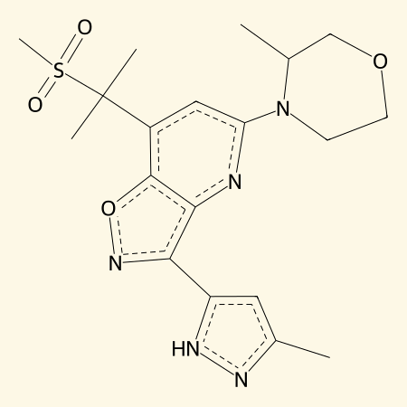 Cc1cc(-c2noc3c(C(C)(C)S(C)(=O)=O)cc(N4CCOCC4C)nc23)[nH]n1